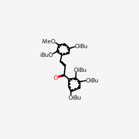 COc1cc(OCC(C)C)cc(/C=C/C(=O)c2cc(OCC(C)C)cc(OCC(C)C)c2OCC(C)C)c1OCC(C)C